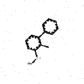 Cc1c(PC(C)(C)C)cccc1-c1ccccc1